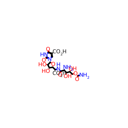 NC(=O)OC[C@H](O)[C@@H](O)[C@H](N)C(=O)N[C@H](C(=O)O)[C@H]1O[C@@H](n2cc(C(=O)O)c(=O)[nH]c2=O)[C@H](O)[C@@H]1O